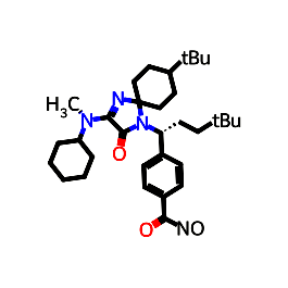 CN(C1=NC2(CCC(C(C)(C)C)CC2)N([C@H](CCC(C)(C)C)c2ccc(C(=O)N=O)cc2)C1=O)C1CCCCC1